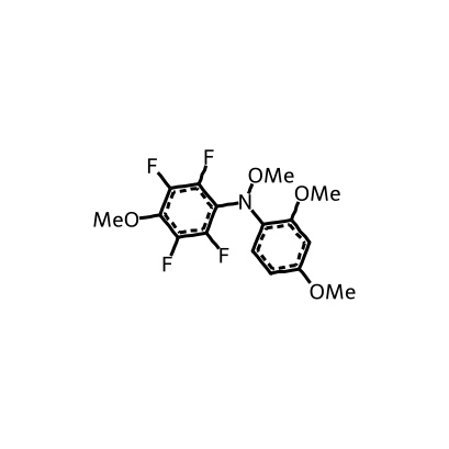 COc1ccc(N(OC)c2c(F)c(F)c(OC)c(F)c2F)c(OC)c1